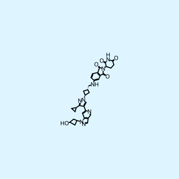 O=C1CCC(N2C(=O)c3ccc(NC[C@H]4C[C@H](n5cc(-c6cc7c(cn6)cnn7C6CC(O)C6)c(C6CC6)n5)C4)cc3C2=O)C(=O)N1